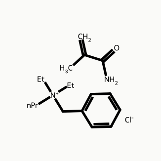 C=C(C)C(N)=O.CCC[N+](CC)(CC)Cc1ccccc1.[Cl-]